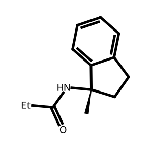 CCC(=O)N[C@@]1(C)CCc2ccccc21